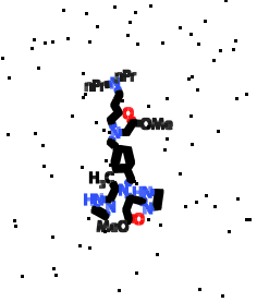 CCCN(CCC)CCCCN(CC(=O)OC)Cc1ccc(CN(C(C)c2ncc[nH]2)C(CC(=O)OC)c2ncc[nH]2)cc1